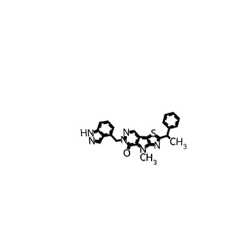 CC(c1ccccc1)c1nc2c(s1)c1cnn(Cc3cccc4[nH]ncc34)c(=O)c1n2C